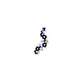 O=C(Nc1ccc(Cl)c(NC(=O)c2ccc3nc(CN4CCC4)ccc3c2)c1)c1ccc2c(c1)OCCC2